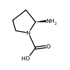 N[C@@H]1CCCN1C(=O)O